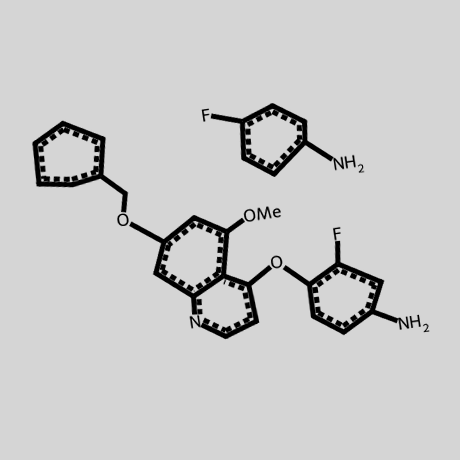 COc1cc(OCc2ccccc2)cc2nccc(Oc3ccc(N)cc3F)c12.Nc1ccc(F)cc1